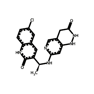 C[C@H](Nc1cc2c(cn1)CC(=O)NN2)c1cc2cc(Cl)ccc2[nH]c1=O